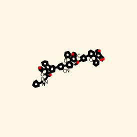 N#Cc1cc(-c2ccc3c(c2)-c2ccccc2C32c3ccccc3Oc3c(-c4nnc(-c5ccccc5)o4)cccc32)ccc1-c1cccc2c1Oc1ccccc1C21c2ccccc2-c2c(-c3ccc(-c4cccc5c4Oc4ccccc4C54c5ccccc5-c5ccccc54)cc3C#N)cccc21